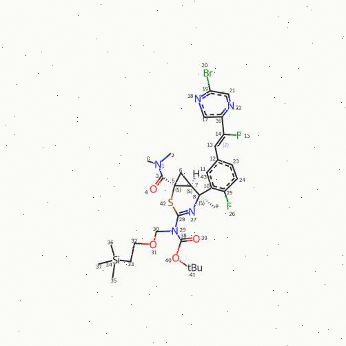 CN(C)C(=O)[C@]12C[C@H]1[C@@](C)(c1cc(/C=C(\F)c3cnc(Br)cn3)ccc1F)N=C(N(COCC[Si](C)(C)C)C(=O)OC(C)(C)C)S2